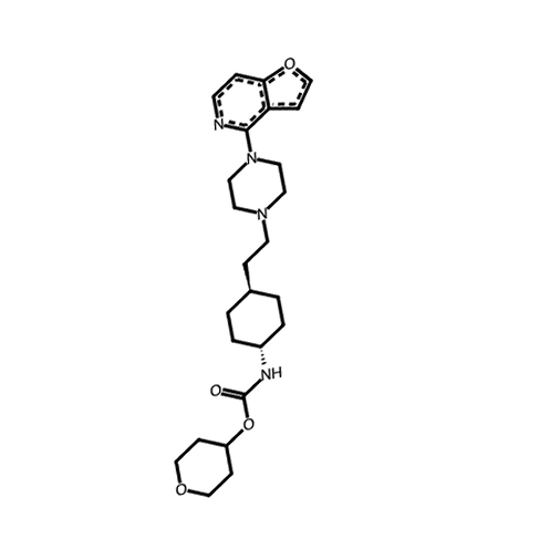 O=C(N[C@H]1CC[C@H](CCN2CCN(c3nccc4occc34)CC2)CC1)OC1CCOCC1